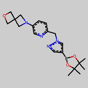 CC1(C)OB(c2cnn(Cc3ccc(N4CC5(COC5)C4)cn3)c2)OC1(C)C